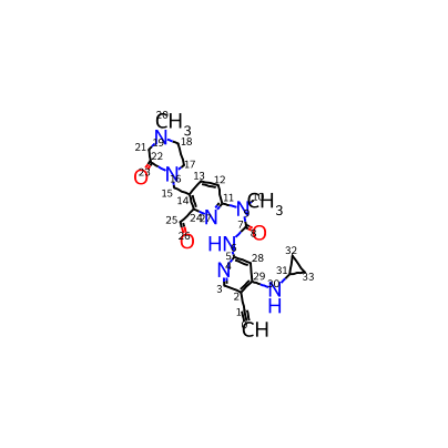 C#Cc1cnc(NC(=O)N(C)c2ccc(CN3CCN(C)CC3=O)c(C=O)n2)cc1NC1CC1